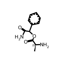 C[C@H](N)C(=O)OC(C(N)=O)c1ccccc1